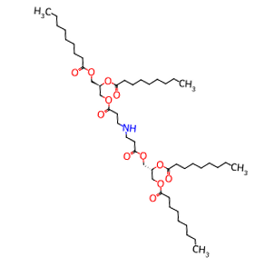 CCCCCCCCC(=O)OC[C@H](COC(=O)CCNCCC(=O)OC[C@@H](COC(=O)CCCCCCCC)OC(=O)CCCCCCCC)OC(=O)CCCCCCCC